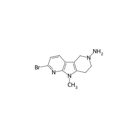 Cn1c2c(c3ccc(Br)nc31)CN(N)CC2